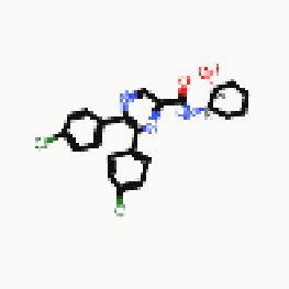 O=C(N[C@@H]1CCCC[C@H]1O)c1cnc(-c2ccc(Cl)cc2)c(-c2ccc(Cl)cc2)n1